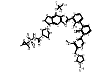 COc1nc(-c2cccc(-c3cccc(-c4nc5cc6c(c(OC(F)(F)F)c5o4)CC[C@H]6N4CC[C@@H](C(=O)NS(=O)(=O)C5(C)CC5)C4)c3Cl)c2Cl)cnc1CN1CC[C@@H](O)C1